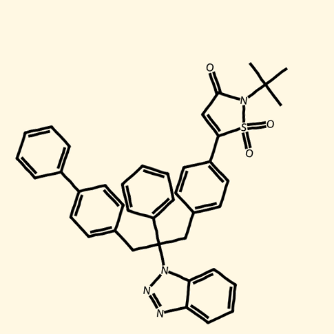 CC(C)(C)N1C(=O)C=C(c2ccc(CC(Cc3ccc(-c4ccccc4)cc3)(c3ccccc3)n3nnc4ccccc43)cc2)S1(=O)=O